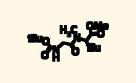 CCC(C)C(C(=O)OC)N(C)C(=O)CNC(=O)OC(C)(C)C